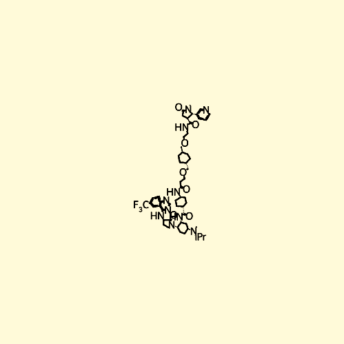 CC(C)N(C)[C@@H]1CC[C@H](N2CC[C@H](Nc3ncnc4ccc(C(F)(F)F)cc34)C2=O)[C@H](NC(=O)[C@H]2CC[C@H](NC(=O)CCOC[C@H]3CC[C@H](COCCNC(=O)[C@H]4CC(=O)N(C)[C@@H]4c4cccnc4)CC3)CC2)C1